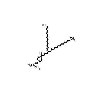 CCCCCCCCCCCCSCC(CCCC(=O)N1CCN(CCN(C)C)CC1)SCCCCCCCCCCCC